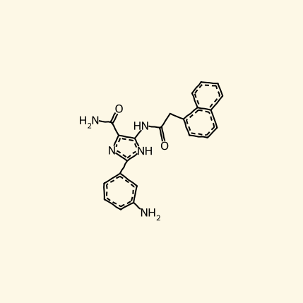 NC(=O)c1nc(-c2cccc(N)c2)[nH]c1NC(=O)Cc1cccc2ccccc12